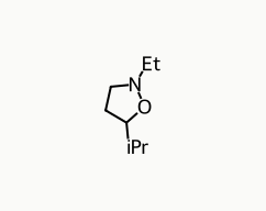 CCN1CCC(C(C)C)O1